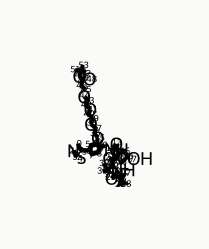 Cc1ncsc1-c1ccc(CNC(=O)[C@@H]2C[C@@H](O)CN2C(=O)[C@@H](NC(=O)C2(F)CC2)C(C)(C)C)c(OCCOCCOCCOCCC(=O)OC(C)(C)C)c1